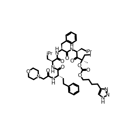 CC(C)C[C@H](NC(=O)[C@H](CCc1ccccc1)NC(=O)CN1CCOCC1)C(=O)N[C@@H](Cc1ccccc1)C(=O)N[C@@H](CC(C)C)C(=O)[C@@](C)(CI)OC(=O)OCCCCc1c[nH]nn1